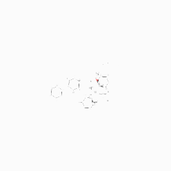 O=C(O)CCNC(=O)C(Cc1ccc(-c2ccccc2)cc1)NC(c1ccccc1)(c1ccccc1)P(=O)(O)O